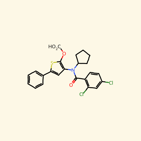 O=C(O)Oc1sc(-c2ccccc2)cc1N(C(=O)c1ccc(Cl)cc1Cl)C1CCCC1